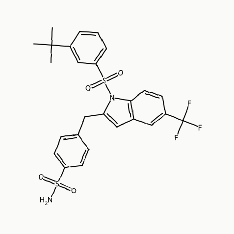 CC(C)(C)c1cccc(S(=O)(=O)n2c(Cc3ccc(S(N)(=O)=O)cc3)cc3cc(C(F)(F)F)ccc32)c1